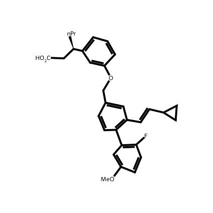 CCC[C@H](CC(=O)O)c1cccc(OCc2ccc(-c3cc(OC)ccc3F)c(C=CC3CC3)c2)c1